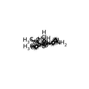 CCCOC(=O)CN[C@H](Cc1ccc(OC)cc1)C(=O)N1CCC[C@H]1C(=O)NCc1ccc2c(N)nccc2c1.Cl